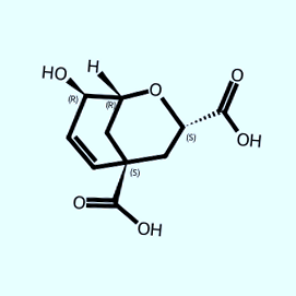 O=C(O)[C@@H]1C[C@]2(C(=O)O)C=C[C@@H](O)[C@@H](C2)O1